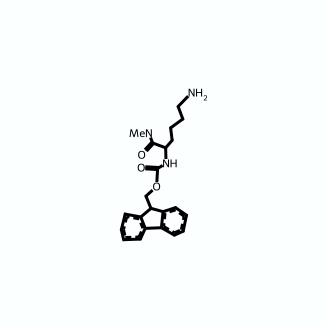 CNC(=O)C(CCCCN)NC(=O)OCC1c2ccccc2-c2ccccc21